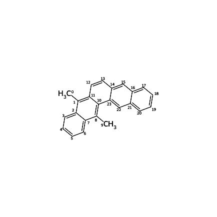 Cc1c2ccccc2c(C)c2c1ccc1cc3ccccc3cc12